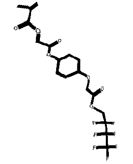 C=C(C)C(=O)OCC(=O)OC1CCC(OCC(=O)OCC(F)(F)C(F)(F)C(F)(F)F)CC1